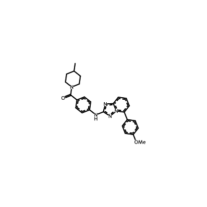 COc1ccc(-c2cccc3nc(Nc4ccc(C(=O)N5CCC(C)CC5)cc4)nn23)cc1